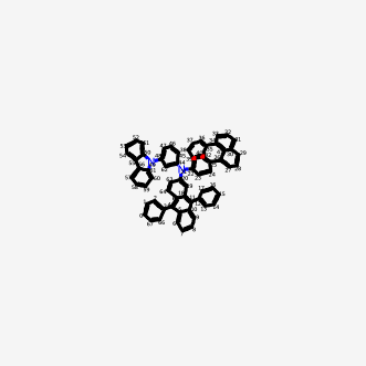 c1ccc(-c2c3ccccc3c(-c3ccccc3)c3cc(N(c4ccc(-c5cccc6cccc(-c7ccccc7)c56)cc4)c4cccc(-n5c6ccccc6c6ccccc65)c4)ccc23)cc1